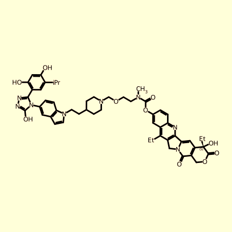 CCc1c2c(nc3ccc(OC(=O)N(C)CCOCN4CCC(CCn5ccc6cc(-n7c(O)nnc7-c7cc(C(C)C)c(O)cc7O)ccc65)CC4)cc13)-c1cc3c(c(=O)n1C2)COC(=O)[C@]3(O)CC